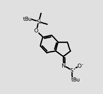 CC(C)(C)[S+]([O-])/N=C1\CCc2cc(O[Si](C)(C)C(C)(C)C)ccc21